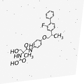 CC(COc1ccc(NC(=O)C(C)(CO)NC(=O)O)cc1)c1ccc(-c2ccccc2)c(F)c1